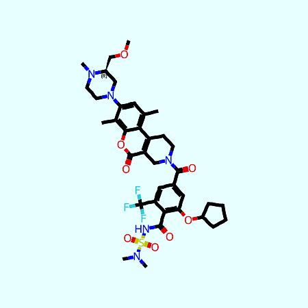 COC[C@H]1CN(c2cc(C)c3c4c(c(=O)oc3c2C)CN(C(=O)c2cc(OC3CCCC3)c(C(=O)NS(=O)(=O)N(C)C)c(C(F)(F)F)c2)CC4)CCN1C